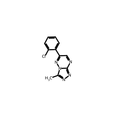 Cc1nnc2ncc(-c3ccccc3Cl)nn12